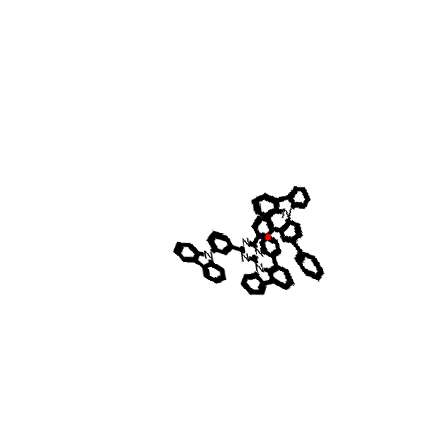 c1ccc(-c2ccc(-n3c4ccccc4c4ccccc43)c(-c3cccc(-c4nc(-c5cccc(-n6c7ccccc7c7ccccc76)c5)nc(-n5c6ccccc6c6cccc(-c7ccccc7)c65)n4)c3)c2)cc1